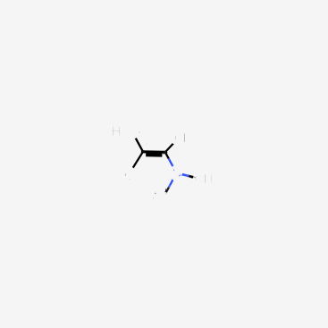 CC(=O)N(C)C(C)=C(C)C